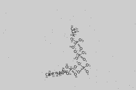 O=P([O-])([O-])[O-].O=P([O-])([O-])[O-].O=P([O-])([O-])[O-].O=P([O-])([O-])[O-].[Ca+2].[Ca+2].[Ca+2].[K+].[K+].[K+].[Na+].[Na+].[Na+]